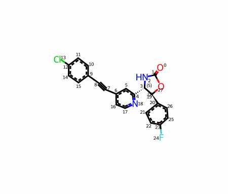 O=C1N[C@@H](c2cc(C#Cc3ccc(Cl)cc3)ccn2)[C@H](c2ccc(F)cc2)O1